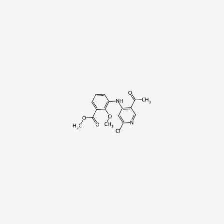 COC(=O)c1cccc(Nc2cc(Cl)ncc2C(C)=O)c1OC